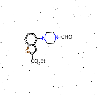 CCOC(=O)c1cc2c(N3CCN(C=O)CC3)cccc2s1